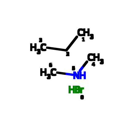 Br.CCC.CNC